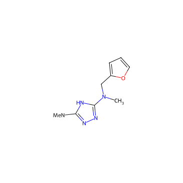 CNc1nnc(N(C)Cc2ccco2)[nH]1